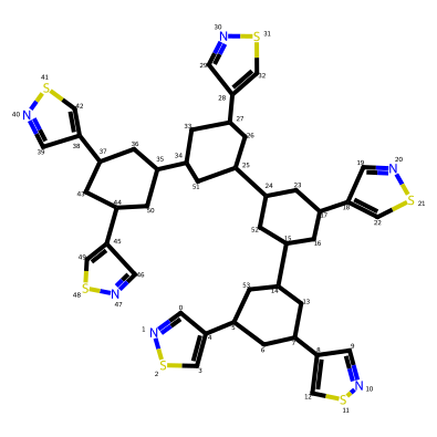 c1nscc1C1CC(c2cnsc2)CC(C2CC(c3cnsc3)CC(C3CC(c4cnsc4)CC(C4CC(c5cnsc5)CC(c5cnsc5)C4)C3)C2)C1